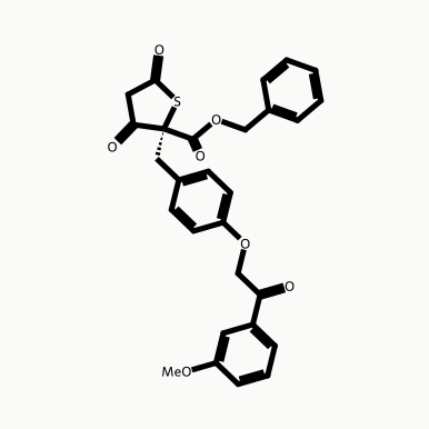 COc1cccc(C(=O)COc2ccc(C[C@@]3(C(=O)OCc4ccccc4)SC(=O)CC3=O)cc2)c1